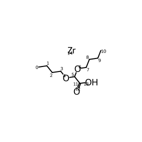 CCCCOC(OCCCC)C(=O)O.[Zr]